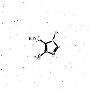 CCOC(=O)c1c(N)ncn1C(C)C